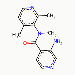 Cc1ccnc(C)c1N(C)C(=O)c1ccncc1N